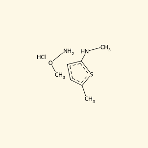 CNc1ccc(C)s1.CON.Cl